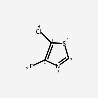 Fc1n[c]sc1Cl